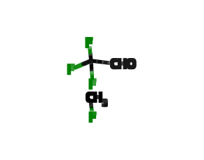 CF.O=CC(F)(F)F